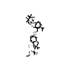 CCOC(=O)[C@H]1[C@@H]2Cc3cc(OCc4c(F)ccc(B5OC(C)(C)C(C)(C)O5)c4F)ccc3[C@@H]21